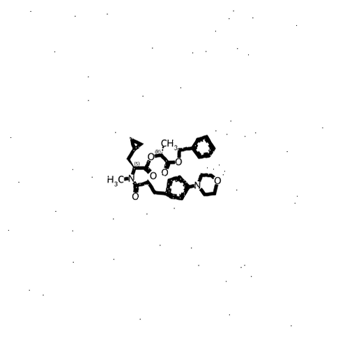 C[C@@H](OC(=O)[C@H](CC1CC1)N(C)C(=O)[CH]Cc1ccc(N2CCOCC2)cc1)C(=O)OCc1ccccc1